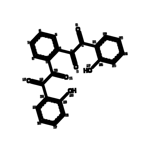 O=C(C(=O)c1ccccc1C(=O)C(=O)c1ccccc1O)c1ccccc1O